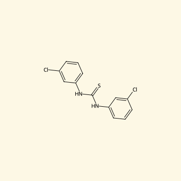 S=C(Nc1cccc(Cl)c1)Nc1cccc(Cl)c1